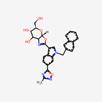 Cc1noc(-c2ccc3c(C4=NC5C(O)[C@H](O)[C@@H](CO)O[C@@H]5O4)cn(Cc4ccc5ccccc5c4)c3c2)n1